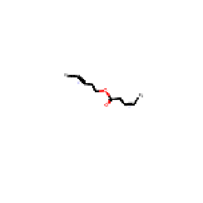 CC/C=C\CC(=O)OCC/C=C/CC